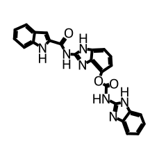 O=C(Nc1nc2ccccc2[nH]1)Oc1cccc2[nH]c(NC(=O)c3cc4ccccc4[nH]3)nc12